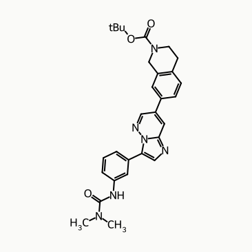 CN(C)C(=O)Nc1cccc(-c2cnc3cc(-c4ccc5c(c4)CN(C(=O)OC(C)(C)C)CC5)cnn23)c1